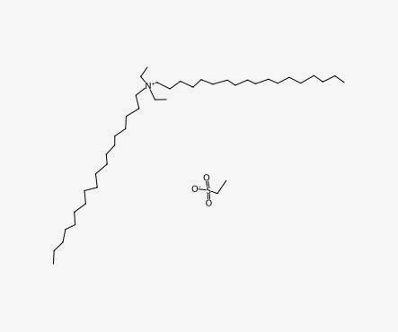 CCCCCCCCCCCCCCCCCC[N+](CC)(CC)CCCCCCCCCCCCCCCCCC.CCS(=O)(=O)[O-]